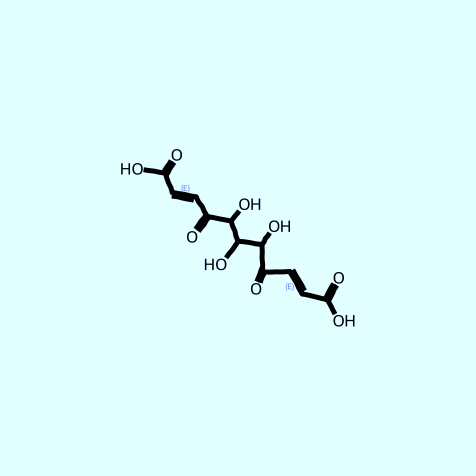 O=C(O)/C=C/C(=O)C(O)C(O)C(O)C(=O)/C=C/C(=O)O